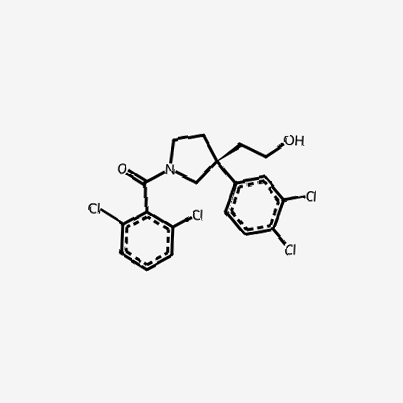 O=C(c1c(Cl)cccc1Cl)N1CC[C@](CCO)(c2ccc(Cl)c(Cl)c2)C1